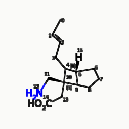 CC=CCC1[C@@H]2CCCC2[C@]1(CN)CC(=O)O